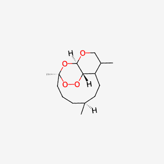 CC1CO[C@@H]2O[C@]3(C)CCC[C@H](C)CCC1[C@@H]2OO3